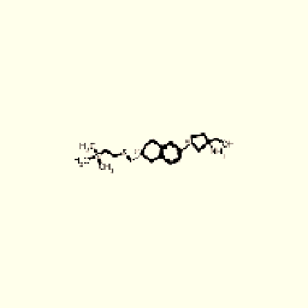 CS(C)(C)CCSC[C@@H]1CCc2cc([C@H]3CC[C@](N)(CO)C3)ccc2C1